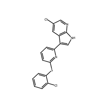 Clc1cnc2[nH]cc(-c3cccc(Sc4ccccc4Cl)n3)c2c1